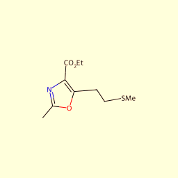 CCOC(=O)c1nc(C)oc1CCSC